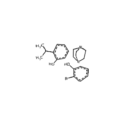 C1CN2CCN1CC2.CC(C)c1ccccc1O.Oc1ccccc1Br